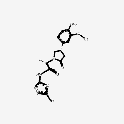 CCOc1cc([C@@H]2CC(=O)N([C@@H](C)C(=O)Nc3nc(C(C)C)ns3)C2)ccc1OC